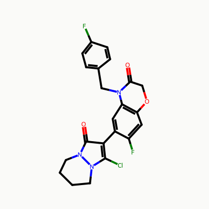 O=C1COc2cc(F)c(-c3c(Cl)n4n(c3=O)CCCC4)cc2N1Cc1ccc(F)cc1